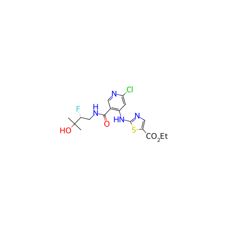 CCOC(=O)c1cnc(Nc2cc(Cl)ncc2C(=O)NC[C@@H](F)C(C)(C)O)s1